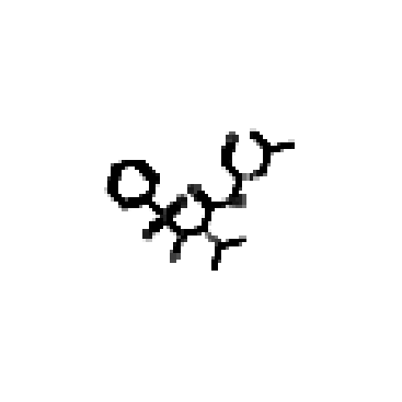 CC(C)C[C@@H](C=O)NC(=O)[C@H](C(C)C)N(F)S(=O)(=O)c1ccccc1